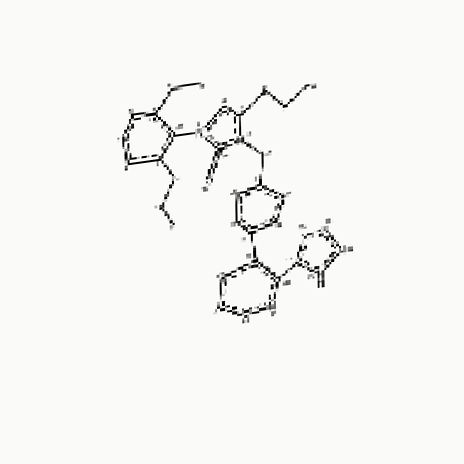 CCCc1cccc(CC)c1-n1cc(CCC)n(Cc2ccc(-c3cccnc3-c3nnn[nH]3)cc2)c1=O